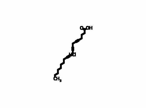 CCCCCCCCC#CCC#CCC#CCCCC(=O)O.Cl